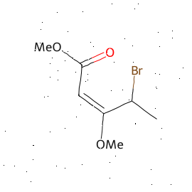 COC(=O)C=C(OC)C(C)Br